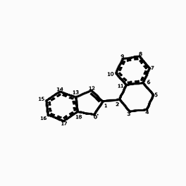 [CH]1C(C2CCCc3ccccc32)=Cc2ccccc21